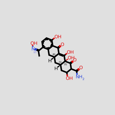 C/C(=N/O)c1ccc(O)c2c1C[C@H]1C[C@H]3CC(O)C(C(N)=O)C(=O)[C@@]3(O)C(O)=C1C2=O